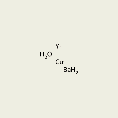 O.[BaH2].[Cu].[Y]